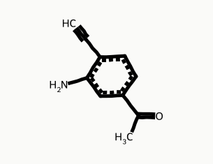 C#Cc1ccc(C(C)=O)cc1N